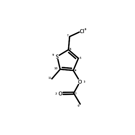 CC(=O)Oc1cc(CCl)sc1C